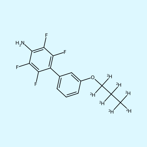 [2H]C([2H])([2H])C([2H])([2H])C([2H])([2H])Oc1cccc(-c2c(F)c(F)c(N)c(F)c2F)c1